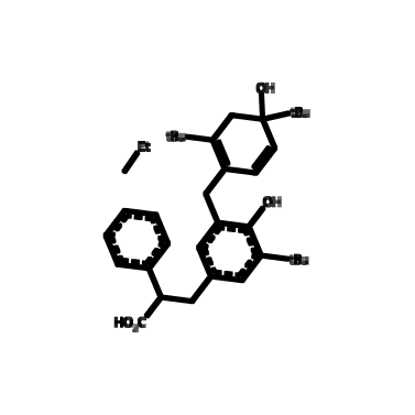 CC(C)(C)C1=C(Cc2cc(CC(C(=O)O)c3ccccc3)cc(C(C)(C)C)c2O)C=CC(O)(C(C)(C)C)C1.CCC